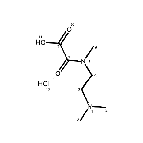 CN(C)CCN(C)C(=O)C(=O)O.Cl